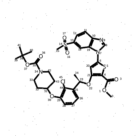 COC(=O)c1sc(-n2cnc3ccc(S(C)(=O)=O)cc32)cc1O[C@H](C)c1cccc(OC2CCN(C(=O)OC(C)(C)C)CC2)c1Cl